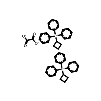 O=C([O-])C(=O)[O-].c1ccc([P+](c2ccccc2)(c2ccccc2)C2CCC2)cc1.c1ccc([P+](c2ccccc2)(c2ccccc2)C2CCC2)cc1